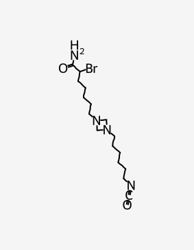 NC(=O)C(Br)CCCCCN1CN(CCCCCCN=C=O)C1